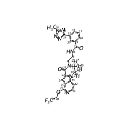 [2H]C1([2H])N(CCNC(=O)c2cccc(-c3nnn(C)n3)c2)C(=O)c2cc3c(OCC(F)(F)F)nccc3n2C1([2H])[2H]